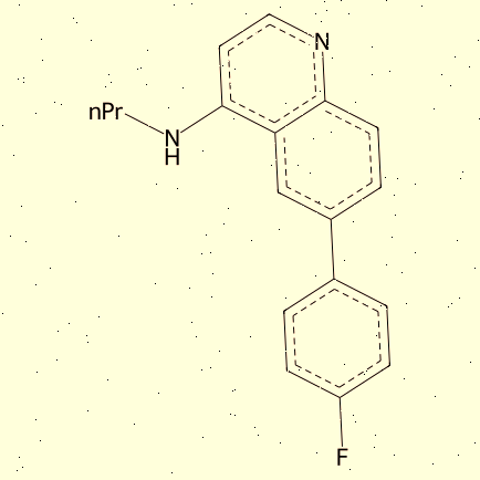 CCCNc1ccnc2ccc(-c3ccc(F)cc3)cc12